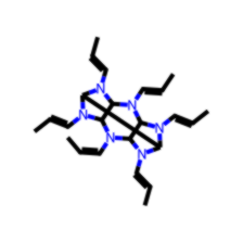 CC=CN1C2C3N(C=CC)C4C(N3C=CC)N(/C=C/C)C(C1N4/C=C\C)N2C=CC